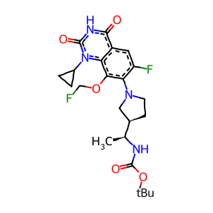 C[C@H](NC(=O)OC(C)(C)C)[C@@H]1CCN(c2c(F)cc3c(=O)[nH]c(=O)n(C4CC4)c3c2OCF)C1